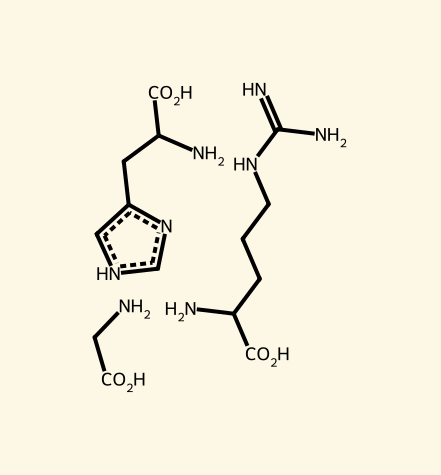 N=C(N)NCCCC(N)C(=O)O.NC(Cc1c[nH]cn1)C(=O)O.NCC(=O)O